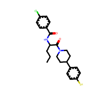 CCCC(NC(=O)c1ccc(Cl)cc1)C(=O)N1CCC(c2ccc(S)cc2)CC1